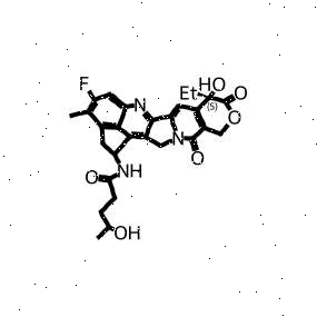 CC[C@@]1(O)C(=O)OCc2c1cc1n(c2=O)Cc2c-1nc1cc(F)c(C)c3c1c2C(NC(=O)CCC(C)O)C3